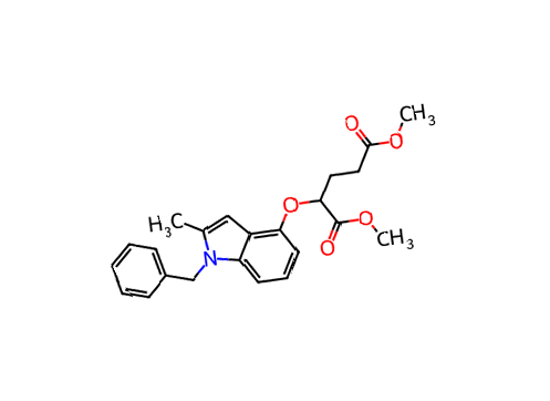 COC(=O)CCC(Oc1cccc2c1cc(C)n2Cc1ccccc1)C(=O)OC